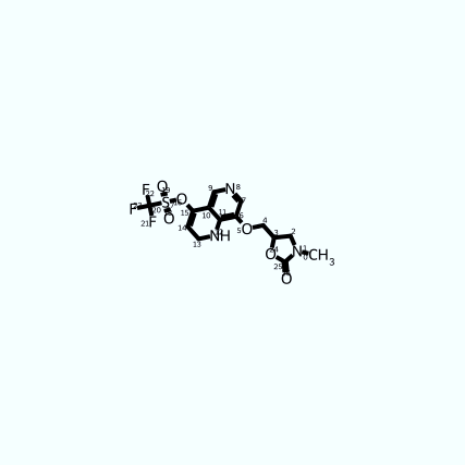 CN1CC(COc2cncc3c2NCC=C3OS(=O)(=O)C(F)(F)F)OC1=O